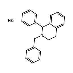 Br.c1ccc(CN2CCc3ccccc3C2c2ccccc2)cc1